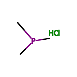 CP(C)C.Cl